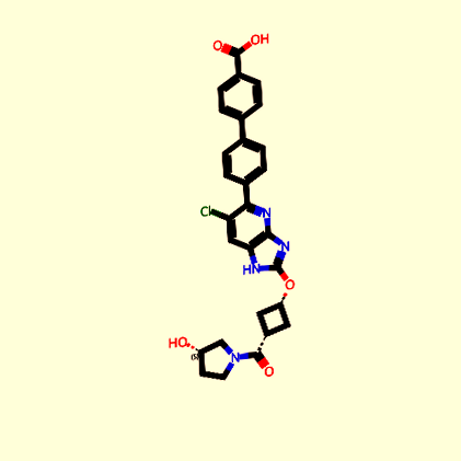 O=C(O)c1ccc(-c2ccc(-c3nc4nc(O[C@H]5C[C@@H](C(=O)N6CC[C@H](O)C6)C5)[nH]c4cc3Cl)cc2)cc1